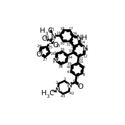 CN1CCN(C(=O)c2ccc(-c3cnc4[nH]c5ccc(N(C)S(=O)(=O)c6ccoc6)cc5c4c3-c3ccncc3)cc2)CC1